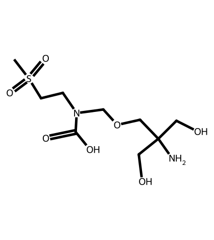 CS(=O)(=O)CCN(COCC(N)(CO)CO)C(=O)O